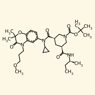 CC[C@H](C)NC(=O)[C@H]1C[C@@H](C(=O)N(c2ccc3c(c2)N(CCCOC)C(=O)C(C)(C)O3)C2CC2)CN(C(=O)OC(C)(C)C)C1